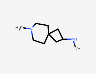 CC(C)NC1CC2(CCN(C)CC2)C1